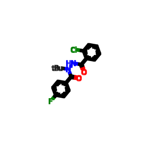 CC(C)(C)N(NC(=O)c1ccccc1Cl)C(=O)c1ccc(F)cc1